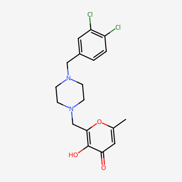 Cc1cc(=O)c(O)c(CN2CCN(Cc3ccc(Cl)c(Cl)c3)CC2)o1